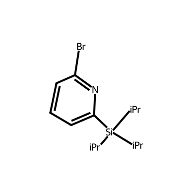 CC(C)[Si](c1cccc(Br)n1)(C(C)C)C(C)C